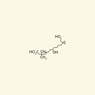 CC(C)(CCCCC(O)CCCCC1(CCO)CC1)CC(=O)O